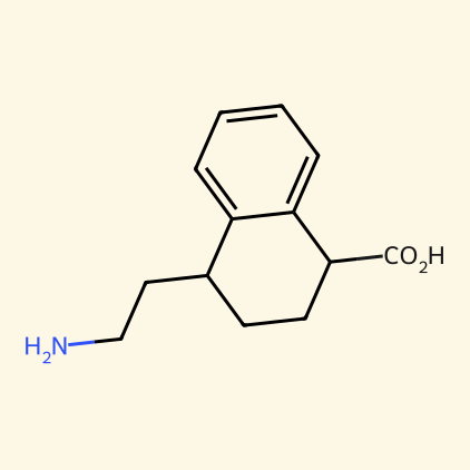 NCCC1CCC(C(=O)O)c2ccccc21